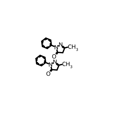 CC1=NN(c2ccccc2)C(=O)C1.CC1=NN(c2ccccc2)C(=O)C1